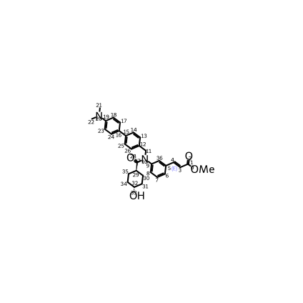 COC(=O)/C=C/c1cccc(N(Cc2ccc(-c3ccc(N(C)C)cc3)cc2)C(=O)[C@H]2CC[C@H](O)CC2)c1